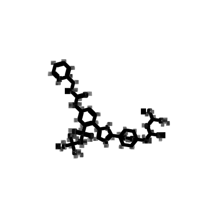 CC(C)OC(O)NC12CCC(c3ncc(-c4ccc(NC(=O)NCc5ccccn5)cc4S(=O)(=O)NC(C)(C)C)s3)(CC1)CC2